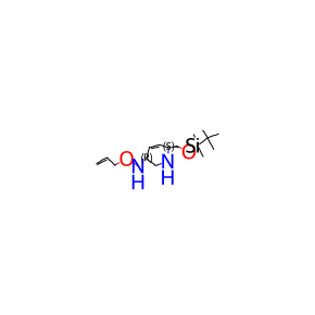 C=CCON[C@@H]1C=C[C@@H](CO[Si](C)(C)C(C)(C)C)NC1